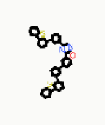 c1cc(-c2ccc3oc4ncc(-c5cccc(-c6cccc7c6sc6ccccc67)c5)nc4c3c2)cc(-c2cccc3c2sc2ccccc23)c1